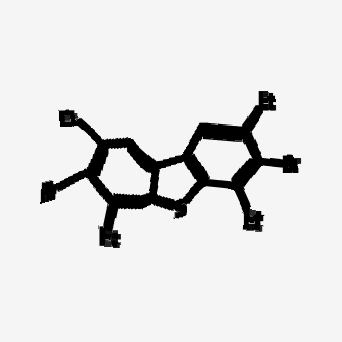 CCc1cc2c(sc3c(CC)c(Br)c(CC)cc32)c(CC)c1Br